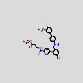 COC(=O)CCNC(=O)c1ccc(-c2cc(Cl)ccc2CNc2ccc(-c3ccc(F)c(C)c3)cc2)cn1